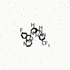 O=C(c1cc(F)ccc1-c1ncccn1)N1C[C@H]2C[C@@H](Nc3ccc(C(F)(F)F)cn3)[C@@H]1C2